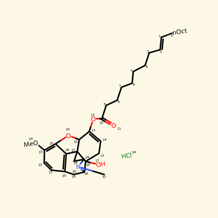 CCCCCCCCC=CCCCCCCCC(=O)OC1=CCC2(O)C3Cc4ccc(OC)c5c4C2(CCN3C)C1O5.Cl